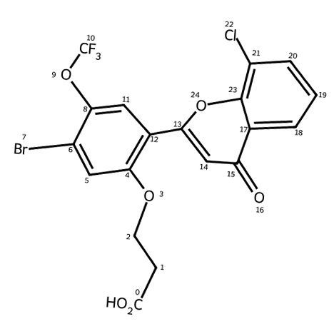 O=C(O)CCOc1cc(Br)c(OC(F)(F)F)cc1-c1cc(=O)c2cccc(Cl)c2o1